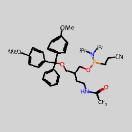 COc1ccc(C(OCC(CCNC(=O)C(F)(F)F)COP(CCC#N)N(C(C)C)C(C)C)(c2ccccc2)c2ccc(OC)cc2)cc1